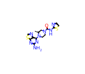 C[C@H]1CN(C(=O)Nc2nccs2)CCN1c1nc(N)nc2scnc12